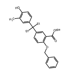 CCC(CC)(c1ccc(O)c(C)c1)c1ccc(OCc2ccccc2)c(C(=O)OC)c1